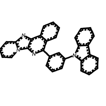 c1cc(-c2nc3c(nc4ccccn43)c3ccccc23)cc(-n2c3ccccc3c3ccccc32)c1